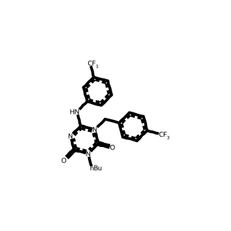 CCCCn1c(=O)nc(Nc2cccc(C(F)(F)F)c2)n(Cc2ccc(C(F)(F)F)cc2)c1=O